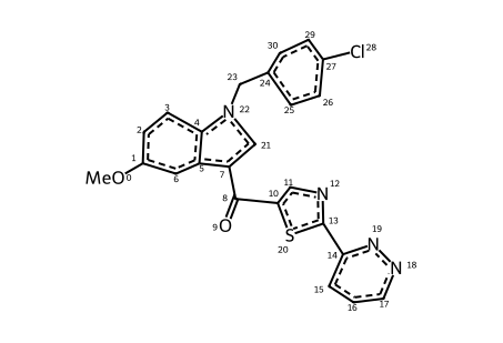 COc1ccc2c(c1)c(C(=O)c1cnc(-c3cccnn3)s1)cn2Cc1ccc(Cl)cc1